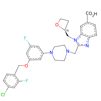 O=C(O)c1ccc2nc(CN3CCN(c4cc(F)cc(OCc5ccc(Cl)cc5F)c4)CC3)n(C[C@@H]3CCO3)c2c1